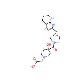 O=C(O)CN1CCC(O)(C(=O)N2CCC(Cc3ccc4c(n3)NCCC4)CC2)CC1